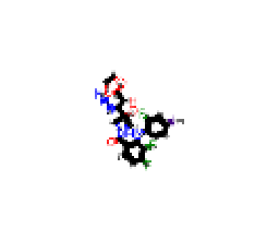 [N-]=[N+]=NC(CC1OCCO1)C1(O)CN(C(=O)c2ccc(F)c(F)c2Nc2ccc(I)cc2F)C1